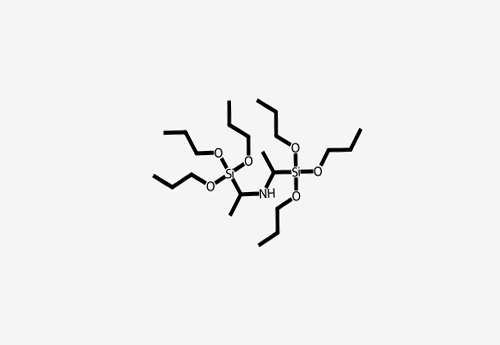 CCCO[Si](OCCC)(OCCC)C(C)NC(C)[Si](OCCC)(OCCC)OCCC